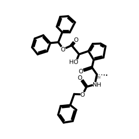 C[C@H](NC(=O)OCc1ccccc1)C(=O)c1ccccc1C(O)C(=O)OC(c1ccccc1)c1ccccc1